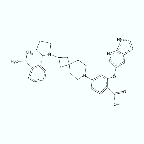 CC(C)c1ccccc1[C@@H]1CCCN1C1CC2(CCN(c3ccc(C(=O)O)c(Oc4cnc5[nH]ccc5c4)c3)CC2)C1